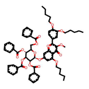 CCCCCOc1ccc(-c2oc3cc(O[C@@H]4OC(COC(=O)c5ccccc5)[C@@H](OC(=O)c5ccccc5)C(OC(=O)c5ccccc5)[C@@H]4OC(=O)c4ccccc4)cc(OCCCCC)c3c(=O)c2OC)cc1OCCCCC